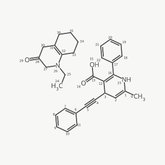 CC1=CC(C#Cc2ccccc2)C(C(=O)O)=C(c2ccccc2)N1.CCN1CC(=O)CC2=C1CCCC2